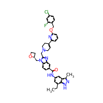 CCc1cc(NC(=O)c2ccc3c(c2)nc(CN2CC=C(c4cccc(OCc5ccc(Cl)cc5F)n4)CC2)n3C[C@@H]2CCO2)cc2c(C)n[nH]c12